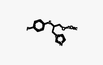 CCCCCCCCCCOCC(Cn1ccnc1)Sc1ccc(F)cc1